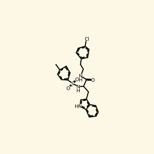 Cc1ccc(S(=O)(=O)NC(Cc2c[nH]c3ccccc23)C(=O)NCCc2ccc(Cl)cc2)cc1